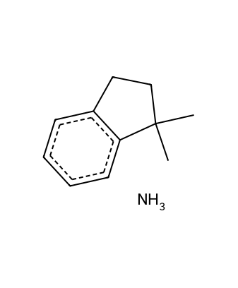 CC1(C)CCc2ccccc21.N